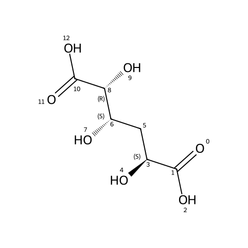 O=C(O)[C@@H](O)C[C@H](O)[C@@H](O)C(=O)O